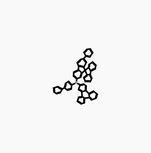 c1ccc(-c2ccc(N(c3ccc4c(c3)C3(c5ccccc5-c5ccccc53)c3cc(-c5ccccc5)ccc3-4)c3ccc4c5ccccc5c5ccccc5c4c3)cc2)cc1